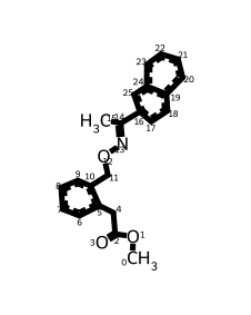 COC(=O)Cc1ccccc1CON=C(C)c1ccc2ccccc2c1